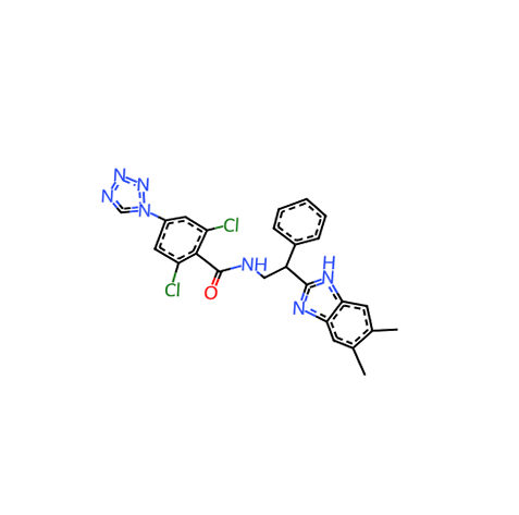 Cc1cc2nc(C(CNC(=O)c3c(Cl)cc(-n4cnnn4)cc3Cl)c3ccccc3)[nH]c2cc1C